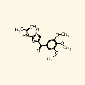 C=C(C)Nc1nc(C(=O)c2cc(OC)c(OC)c(OC)c2)c[nH]1